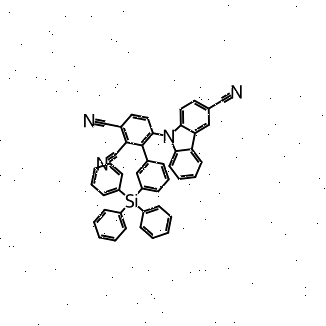 N#Cc1ccc2c(c1)c1ccccc1n2-c1ccc(C#N)c(C#N)c1-c1cccc([Si](c2ccccc2)(c2ccccc2)c2ccccc2)c1